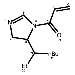 C=CC(=O)N1C=NCC1C(CC)CCCC